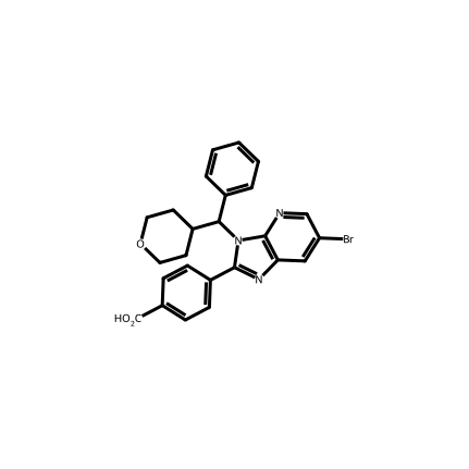 O=C(O)c1ccc(-c2nc3cc(Br)cnc3n2C(c2ccccc2)C2CCOCC2)cc1